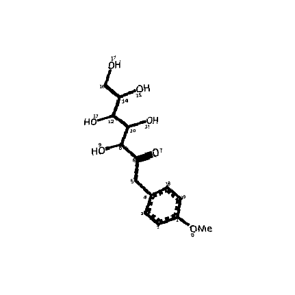 COc1ccc(CC(=O)C(O)C(O)C(O)C(O)CO)cc1